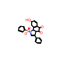 O=C1C(=O)C2C(c3ccccc3)=CN(S(=O)(=O)c3ccccc3)C2C2=C1C=CC(O)C2